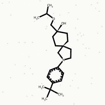 CC(C)OC[C@]1(O)CC[C@]2(CCN(c3ccc(C(C)(C)C)cc3)C2)CC1